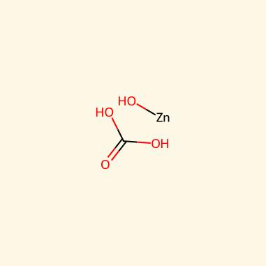 O=C(O)O.[OH][Zn]